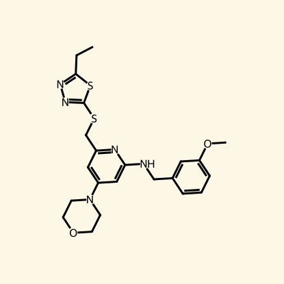 CCc1nnc(SCc2cc(N3CCOCC3)cc(NCc3cccc(OC)c3)n2)s1